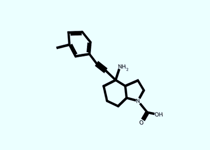 Cc1cccc(C#CC2(N)CCCC3C2CCN3C(=O)O)c1